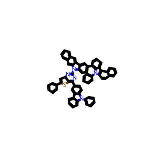 c1ccc(-c2cc3nc(-n4c5ccc(-c6cccc7c8c9ccccc9ccc8n(-c8ccccc8)c67)cc5c5cc6ccccc6cc54)nc(-c4ccc5c(c4)c4ccccc4n5-c4ccccc4)c3s2)cc1